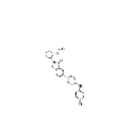 O=CO[C@H]1CCC[C@H]1N1Cc2ccc(-c3ccc(Nc4ccc(Cl)cc4)cc3)cc2C1=O